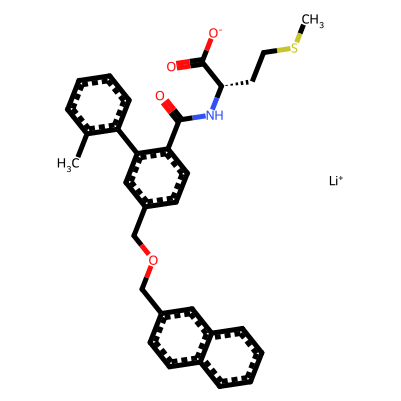 CSCC[C@H](NC(=O)c1ccc(COCc2ccc3ccccc3c2)cc1-c1ccccc1C)C(=O)[O-].[Li+]